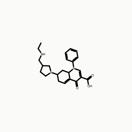 CCNCC1CCN(C2CC=C3C(=O)C(C(=O)O)=CN(c4ccccc4)C3C2)C1